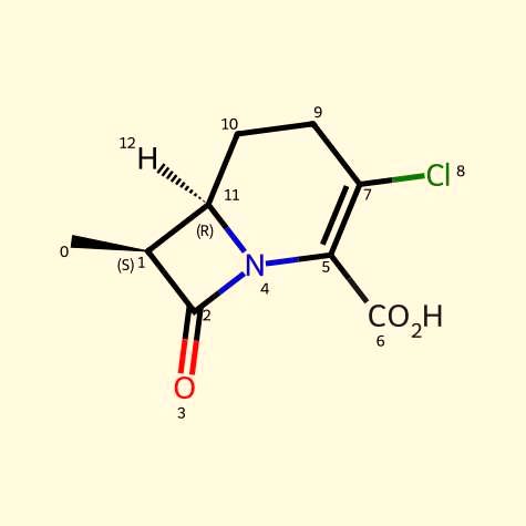 C[C@@H]1C(=O)N2C(C(=O)O)=C(Cl)CC[C@H]12